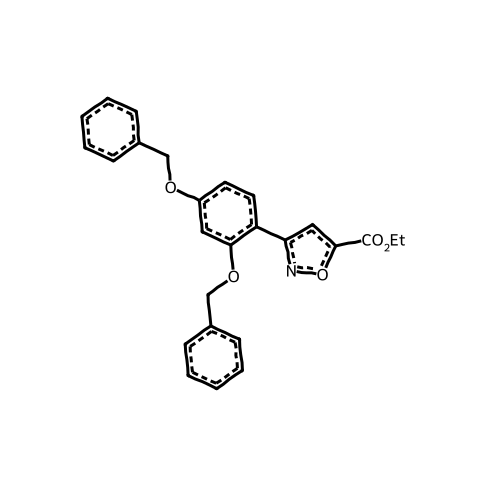 CCOC(=O)c1cc(-c2ccc(OCc3ccccc3)cc2OCc2ccccc2)no1